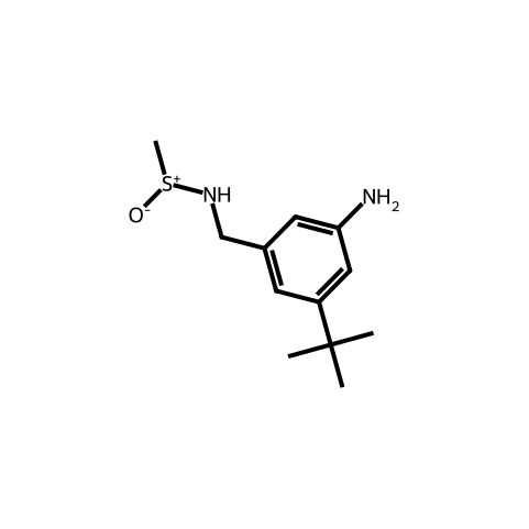 C[S+]([O-])NCc1cc(N)cc(C(C)(C)C)c1